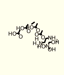 CC.CC(=O)O.CC(=O)O.CC(=O)O.CC(=O)O.NCCN.OCN(O)O